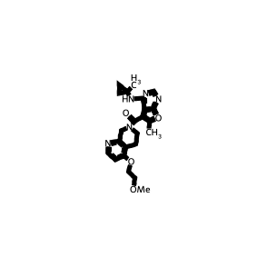 COCCOc1ccnc2c1CCN(C(=O)c1c(C)oc3ncnc(NC4(C)CC4)c13)C2